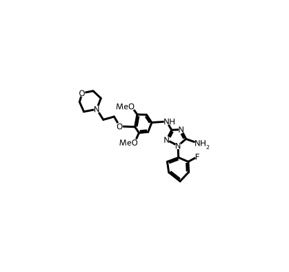 COc1cc(Nc2nc(N)n(-c3ccccc3F)n2)cc(OC)c1OCCN1CCOCC1